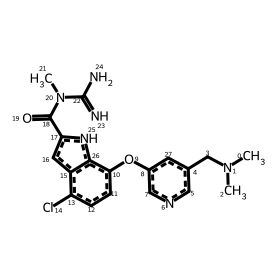 CN(C)Cc1cncc(Oc2ccc(Cl)c3cc(C(=O)N(C)C(=N)N)[nH]c23)c1